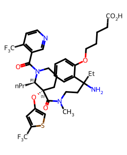 CCC[C@H]1N(C(=O)c2cnccc2C(F)(F)F)CCC[C@@]1(Oc1csc(C(F)(F)F)c1)C(=O)N(C)CCC(N)(CC)c1ccccc1OCCCCC(=O)O